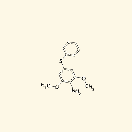 COc1cc(Sc2ccccc2)cc(OC)c1N